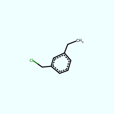 CCc1cccc(CCl)c1